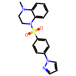 CN1CCN(S(=O)(=O)c2ccc(-n3cccn3)cc2)c2ccccc21